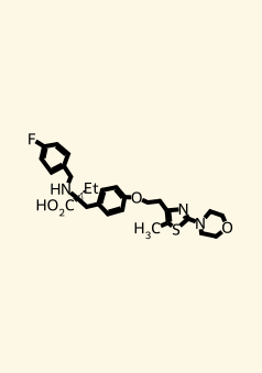 CC[C@@](Cc1ccc(OCCc2nc(N3CCOCC3)sc2C)cc1)(NCc1ccc(F)cc1)C(=O)O